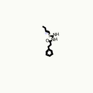 CC/C=C/SC(=N)NC(=O)CCc1ccccc1